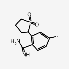 [CH2]c1ccc(C(=N)N)c(C2CCCS2(=O)=O)c1